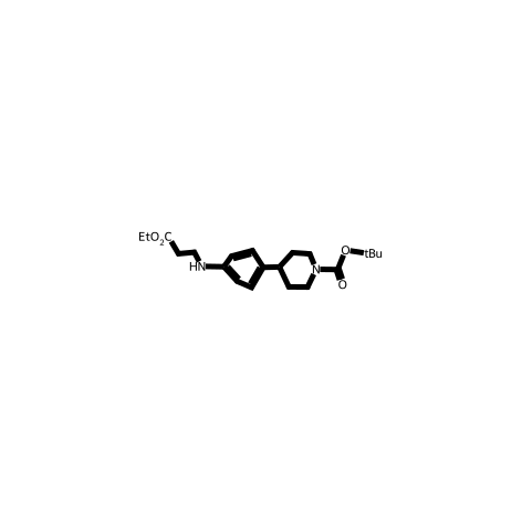 CCOC(=O)CCNc1ccc(C2CCN(C(=O)OC(C)(C)C)CC2)cc1